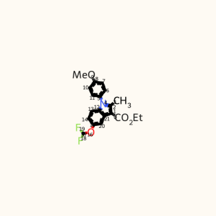 CCOC(=O)c1c(C)n(-c2ccc(OC)cc2)c2ccc(OC(F)F)cc12